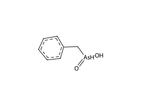 O=[AsH](O)Cc1ccccc1